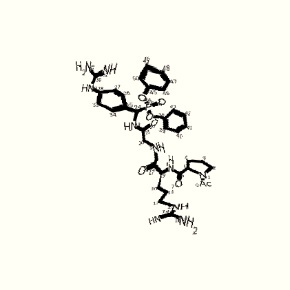 CC(=O)N1CCCC1C(=O)N[C@@H](CCCNC(=N)N)C(=O)NCC(=O)NC(c1ccc(NC(=N)N)cc1)P(=O)(Oc1ccccc1)Oc1ccccc1